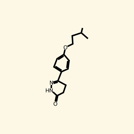 CC(C)CCOc1ccc(C2=NNC(=O)CC2)cc1